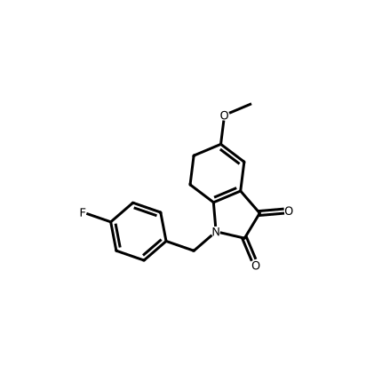 COC1=CC2=C(CC1)N(Cc1ccc(F)cc1)C(=O)C2=O